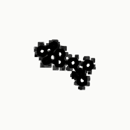 c1ccc(-n2c(-c3cccc(-c4ccc5c6c(cccc46)C4(c6ccccc6-c6ccccc64)c4ccccc4-5)c3)nc3ccccc32)cc1